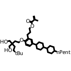 C=C(C)C(=O)OCCCc1cc(C2CCC(C3CCC(CCCCC)CC3)CC2)ccc1OCCC(CO)(CO)CCC(C)(C)C